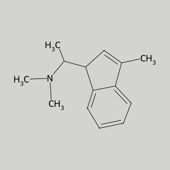 CC1=CC(C(C)N(C)C)c2ccccc21